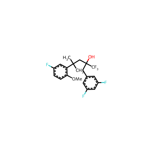 COc1ccc(F)cc1C(C)(C)CC(O)(Cc1cc(F)cc(F)c1)C(F)(F)F